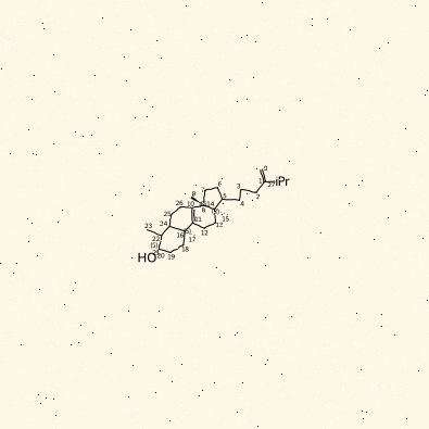 C=C(CCCC1CC[C@@]2(C)C3=C(CC[C@]12C)[C@@]1(C)CC[C@H](O)C(C)C1CC3)C(C)C